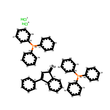 Cl.Cl.[Ru]=[C]1C=C(c2ccccc2)c2ccccc21.c1ccc(P(c2ccccc2)c2ccccc2)cc1.c1ccc(P(c2ccccc2)c2ccccc2)cc1